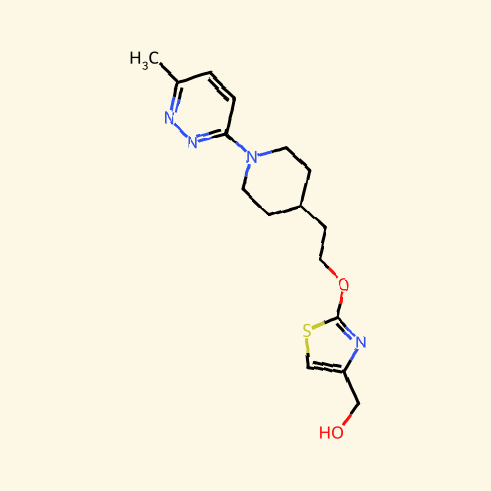 Cc1ccc(N2CCC(CCOc3nc(CO)cs3)CC2)nn1